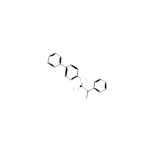 CC(C(=O)Oc1ccc(-c2ccccc2)cc1)c1ccccc1